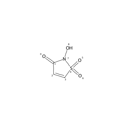 O=C1C=CS(=O)(=O)N1O